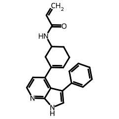 C=CC(=O)NC1CCC=C(c2ccnc3[nH]cc(-c4ccccc4)c23)C1